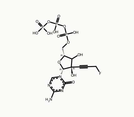 Nc1ncn([C@@H]2O[C@H](COP(=O)(O)OP(=O)(O)OP(=O)(O)O)C(O)[C@]2(O)C#CCF)c(=O)n1